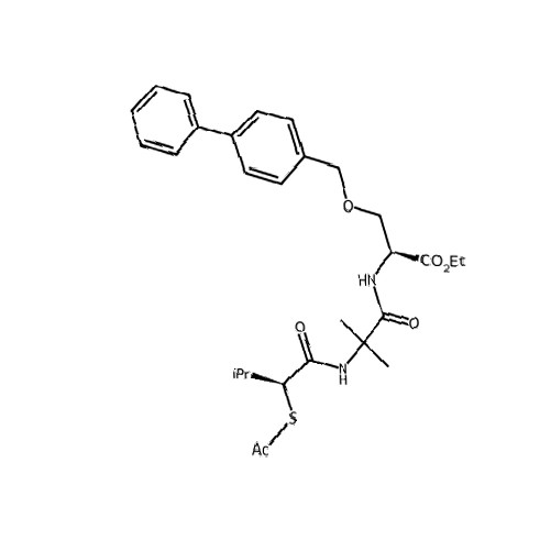 CCOC(=O)[C@H](COCc1ccc(-c2ccccc2)cc1)NC(=O)C(C)(C)NC(=O)[C@@H](SC(C)=O)C(C)C